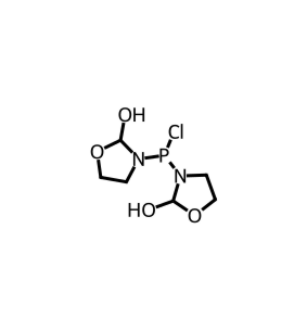 OC1OCCN1P(Cl)N1CCOC1O